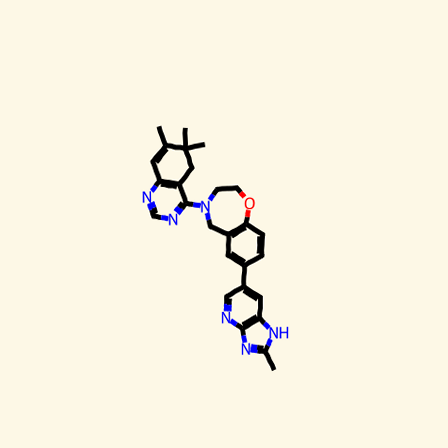 CC1=Cc2ncnc(N3CCOc4ccc(-c5cnc6nc(C)[nH]c6c5)cc4C3)c2CC1(C)C